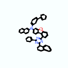 c1ccc(-c2cccc(N(c3ccc4ccccc4c3)c3ccc4c(c3)oc3cccc(-c5nc(-c6ccccc6)nc(-c6cccc7ccccc67)n5)c34)c2)cc1